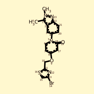 Cc1c2cc(-n3ccc(OCc4nc(Br)cs4)cc3=O)ccc2nn1C